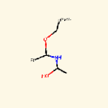 CCCCCCOC(CC)NC(C)O